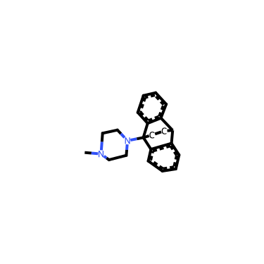 CN1CCN(C23CCC(c4ccccc42)c2ccccc23)CC1